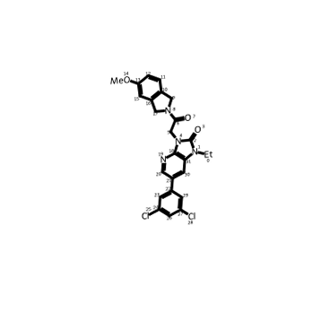 CCn1c(=O)n(CC(=O)N2Cc3ccc(OC)cc3C2)c2ncc(-c3cc(Cl)cc(Cl)c3)cc21